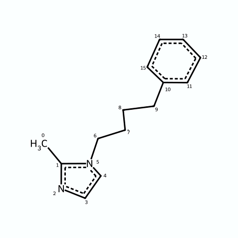 Cc1nccn1C[CH]CCc1ccccc1